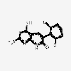 Nc1nc(N)c2cc(-c3c(Cl)cccc3Cl)c(=O)[nH]c2n1